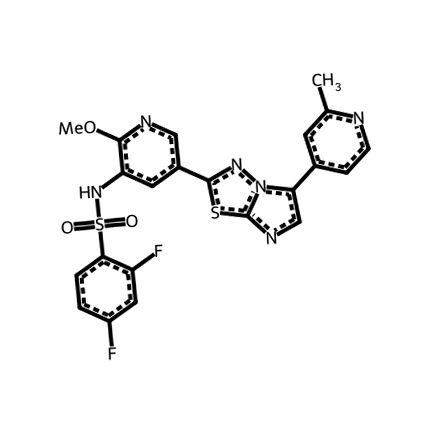 COc1ncc(-c2nn3c(-c4ccnc(C)c4)cnc3s2)cc1NS(=O)(=O)c1ccc(F)cc1F